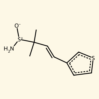 CC(C)(C=Cc1ccsc1)[S+](N)[O-]